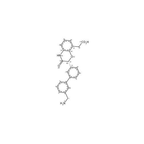 NCc1cccc(-c2cccc([C@H]3Oc4c(CC(=O)O)cccc4NC3=O)c2)c1